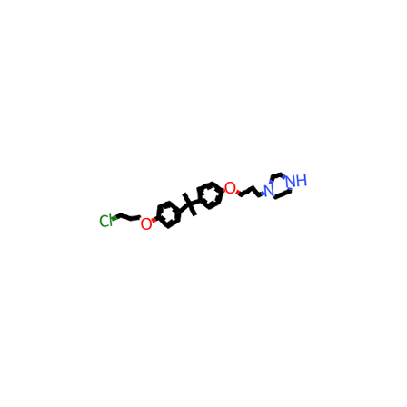 CC(C)(c1ccc(OCCCCl)cc1)c1ccc(OCCCN2CCNCC2)cc1